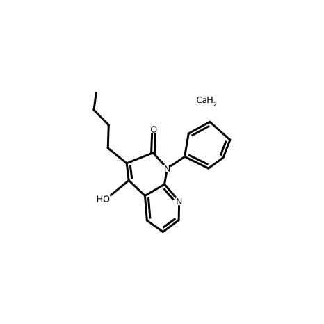 CCCCc1c(O)c2cccnc2n(-c2ccccc2)c1=O.[CaH2]